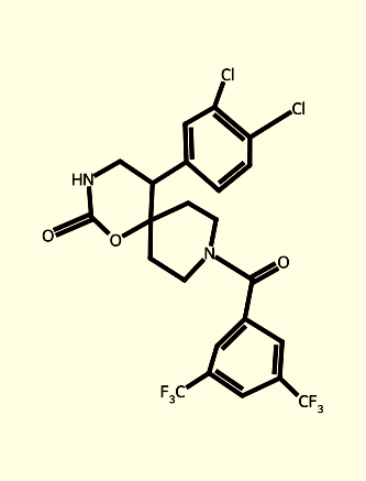 O=C1NCC(c2ccc(Cl)c(Cl)c2)C2(CCN(C(=O)c3cc(C(F)(F)F)cc(C(F)(F)F)c3)CC2)O1